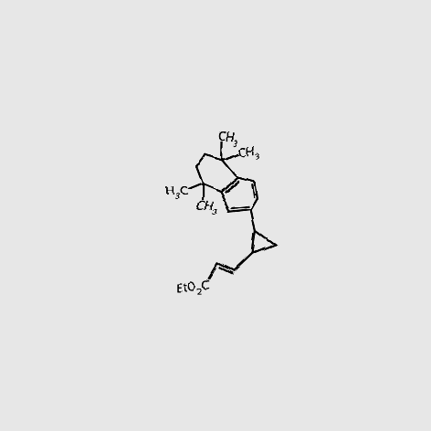 CCOC(=O)C=CC1CC1c1ccc2c(c1)C(C)(C)CCC2(C)C